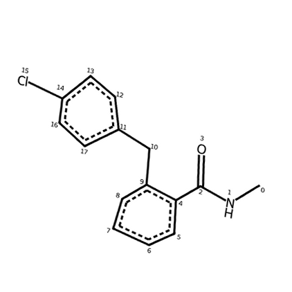 CNC(=O)c1ccccc1Cc1ccc(Cl)cc1